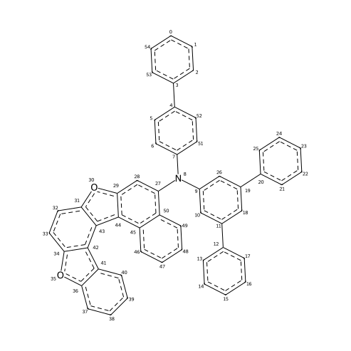 c1ccc(-c2ccc(N(c3cc(-c4ccccc4)cc(-c4ccccc4)c3)c3cc4oc5ccc6oc7ccccc7c6c5c4c4ccccc34)cc2)cc1